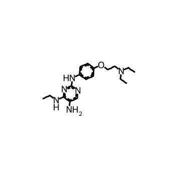 CCNc1nc(Nc2ccc(OCCN(CC)CC)cc2)ncc1N